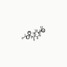 CCOC(=O)C1CC12CCC(C1CO1)CC2